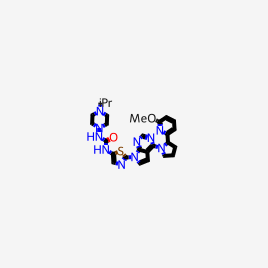 COc1cccc(C2CCCN2c2ncnc3c2ccn3-c2ncc(NC(=O)NN3CCN(C(C)C)CC3)s2)n1